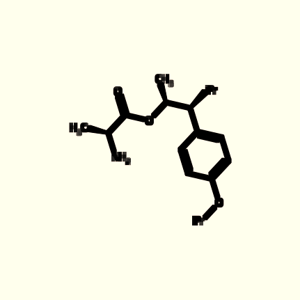 CC(C)Oc1ccc([C@H](C(C)C)[C@H](C)OC(=O)[C@H](C)N)cc1